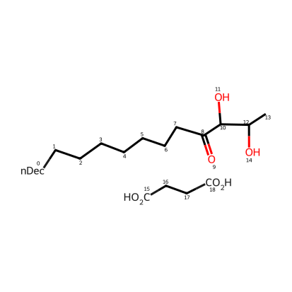 CCCCCCCCCCCCCCCCCC(=O)C(O)C(C)O.O=C(O)CCC(=O)O